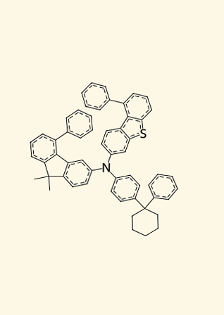 CC1(C)c2ccc(N(c3ccc(C4(c5ccccc5)CCCCC4)cc3)c3ccc4c(c3)sc3cccc(-c5ccccc5)c34)cc2-c2c(-c3ccccc3)cccc21